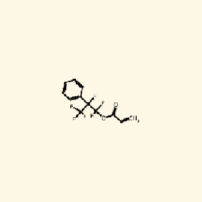 C=CC(=O)OC(F)(F)C(F)(c1ccccc1)C(F)(F)F